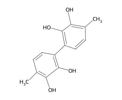 Cc1ccc(-c2ccc(C)c(O)c2O)c(O)c1O